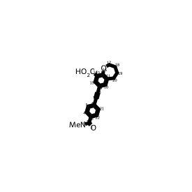 CNC(=O)c1ccc(C#Cc2cc3c(c(C(=O)O)c2)OCCCC3)cc1